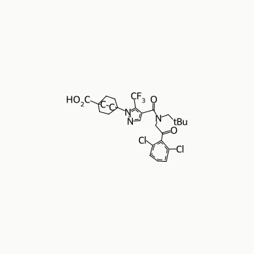 CC(C)(C)CN(CC(=O)c1c(Cl)cccc1Cl)C(=O)c1cnn(C23CCC(C(=O)O)(CC2)CC3)c1C(F)(F)F